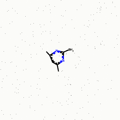 Bc1nc(C)cc(C)n1